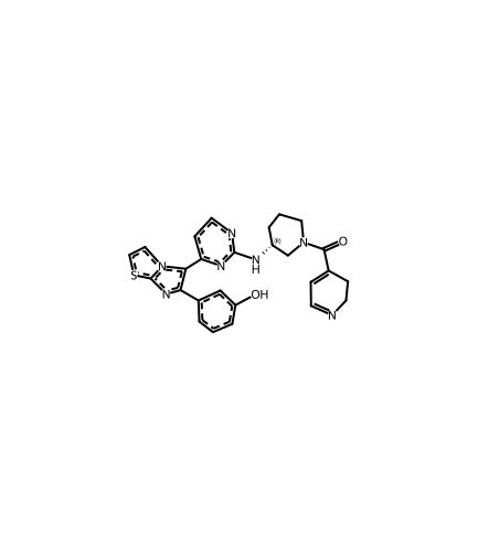 O=C(C1=CC=NCC1)N1CCC[C@@H](Nc2nccc(-c3c(-c4cccc(O)c4)nc4sccn34)n2)C1